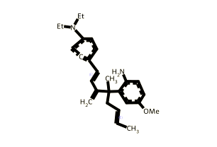 C=C(/C=C/c1ccc(N(CC)CC)cc1)C(C)(C/C=C/C)c1cc(OC)ccc1N